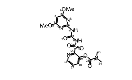 COc1cc(OC)nc(NC(=O)NS(=O)(=O)c2ncccc2OC(=O)N(C)C)n1